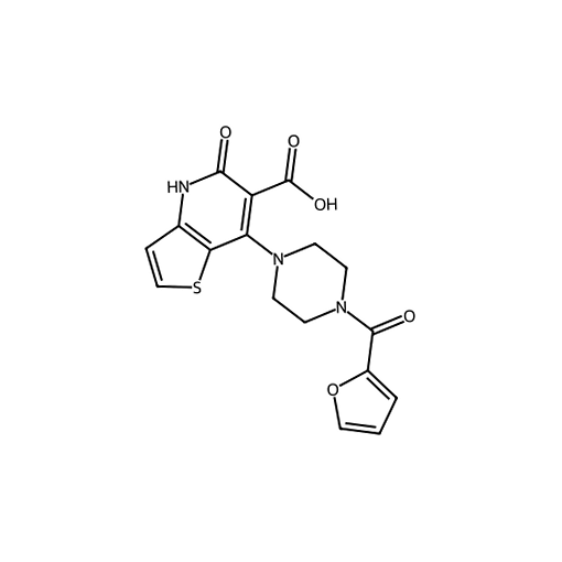 O=C(O)c1c(N2CCN(C(=O)c3ccco3)CC2)c2sccc2[nH]c1=O